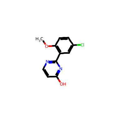 COc1ccc(Cl)cc1-c1nccc(O)n1